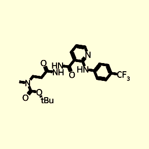 CN(CCC(=O)NNC(=O)c1cccnc1Nc1ccc(C(F)(F)F)cc1)C(=O)OC(C)(C)C